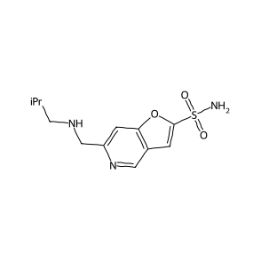 CC(C)CNCc1cc2oc(S(N)(=O)=O)cc2cn1